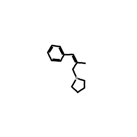 CC(=Cc1ccccc1)CN1[CH]CCC1